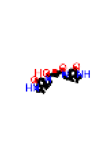 CC1=CNC2C(=O)C=C3N(C(=O)C45CC(C(O)N6CC7CC78C6=CC(=O)c6[nH]cc(C)c68)(C4)C5)CC4CC34C12